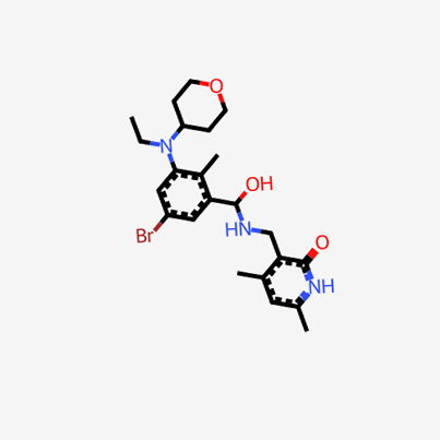 CCN(c1cc(Br)cc(C(O)NCc2c(C)cc(C)[nH]c2=O)c1C)C1CCOCC1